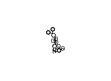 COc1ccc2c3c1OC1C(OS(=O)OC4CCC(c5ccccc5)(c5ccccc5)CC4)C=CC4C(C2)N(C)CCC341